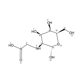 O=C(O)CN[C@H]1[C@@H](O)[C@@H](O)[C@@H](CO)O[C@@H]1O